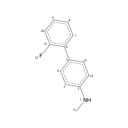 CNc1ccc(-c2ccccc2F)cc1